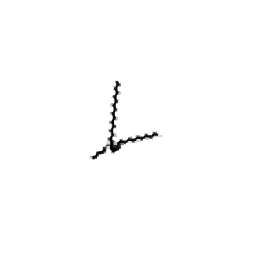 CCCCCCCCCCCCCCCC1N(CCCCC)C=CN1CCCCCCCCCC